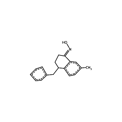 Cc1ccc2c(c1)C(=NO)CCC2Cc1ccccc1